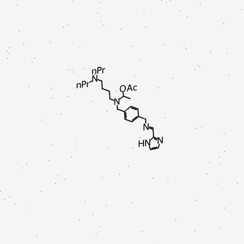 CCCN(CCC)CCCCN(Cc1ccc(C/N=C/c2ncc[nH]2)cc1)C(C)OC(C)=O